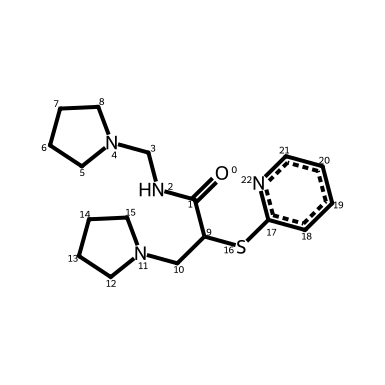 O=C(NCN1CCCC1)C(CN1CCCC1)Sc1ccccn1